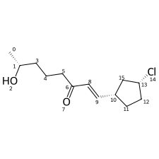 C[C@@H](O)CCCC(=O)/C=C/[C@H]1CC[C@@H](Cl)C1